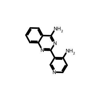 Nc1ccncc1-c1nc(N)c2ccccc2n1